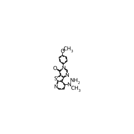 COc1ccc(-n2cnc3c(sc4nccc(N(C)N)c43)c2=O)cc1